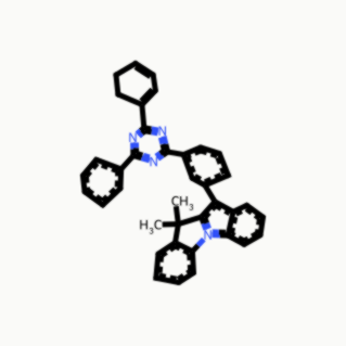 CC1(C)c2ccccc2-n2c1c(-c1cccc(-c3nc(C4=CC=CCC4)nc(-c4ccccc4)n3)c1)c1ccccc12